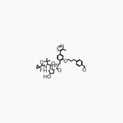 Cc1ncsc1-c1ccc(CNC(=O)[C@@H]2C[C@@H](O)CN2C(=O)[C@@H](NC(=O)C2(F)CC2)C(C)(C)C)c(OCCCc2ccc(C=O)cc2)c1